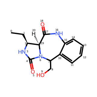 CC[C@@H]1NC(=O)N2C(CO)c3ccccc3NC(=O)[C@H]12